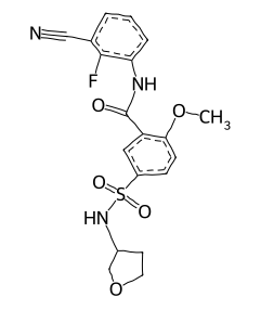 COc1ccc(S(=O)(=O)NC2CCOC2)cc1C(=O)Nc1cccc(C#N)c1F